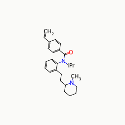 C=Cc1ccc(C(=O)N(c2ccccc2CCC2CCCCN2C)C(C)C)cc1